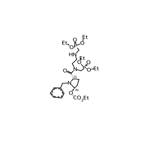 CCOC(=O)O[C@@H]1CC[C@@H](C(=O)N(CCNCP(=O)(OCC)OCC)CP(=O)(OCC)OCC)N1Cc1ccccc1